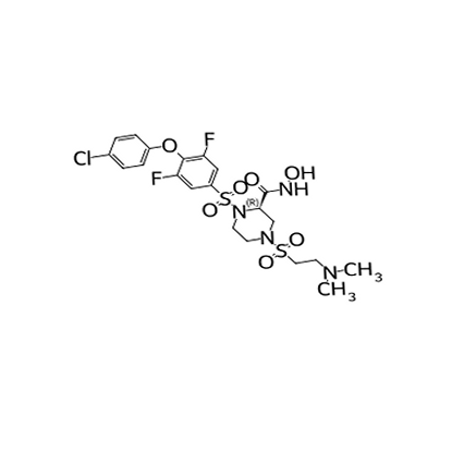 CN(C)CCS(=O)(=O)N1CCN(S(=O)(=O)c2cc(F)c(Oc3ccc(Cl)cc3)c(F)c2)[C@@H](C(=O)NO)C1